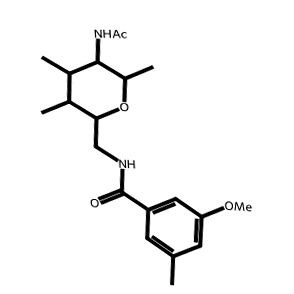 COc1cc(C)cc(C(=O)NCC2OC(C)C(NC(C)=O)C(C)C2C)c1